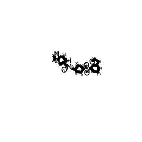 O=C(NCc1ccc(S(=O)(=O)c2cccc3c2OCC3)cc1)c1ccc2nccn2c1